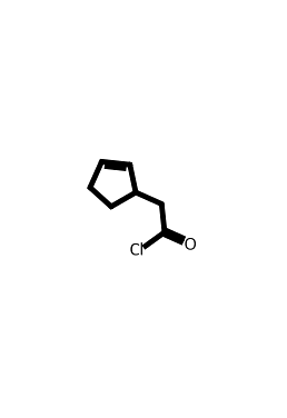 O=C(Cl)CC1C=CCC1